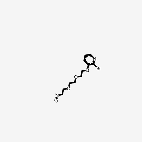 O=NCCOCCOCCOc1cccnc1Br